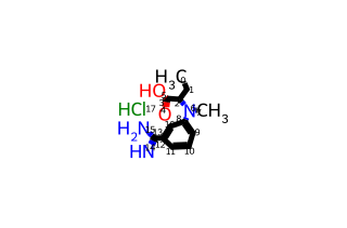 CCC(C(=O)O)N(C)c1cccc(C(=N)N)c1.Cl